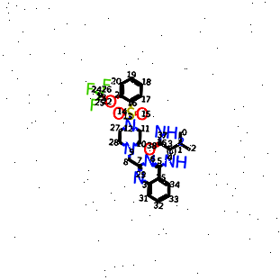 CC(C)[C@H](Nc1nc(CN2CCN(S(=O)(=O)c3ccccc3OC(F)(F)F)CC2)nc2ccccc12)C(N)=O